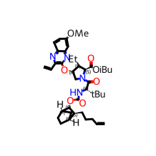 C=CCCC[C@H]1[C@H]2CC[C@H](C2)[C@@H]1OC(=O)N[C@H](C(=O)N1C[C@H](Oc2nc3cc(OC)ccc3nc2C=C)[C@@H](CC)[C@H]1C(=O)OCC(C)C)C(C)(C)C